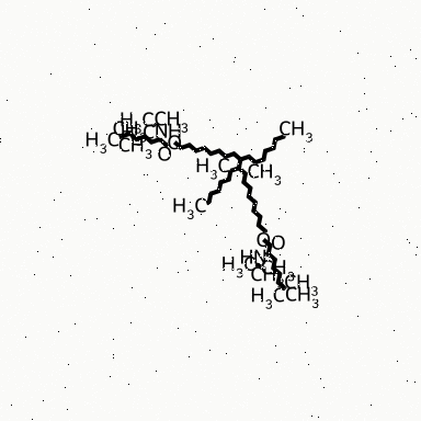 CCCCCCC(C)CC(CCCCCCCCOC(=O)C(CCCCC(C)(C)C)NC(C)(C)C)C(CCCCCCCCCOC(=O)C(CCCCC(C)(C)C)NC(C)(C)C)C(C)CCCCCC